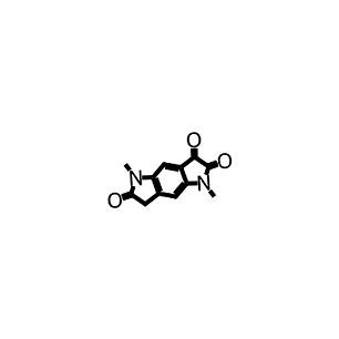 CN1C(=O)Cc2cc3c(cc21)C(=O)C(=O)N3C